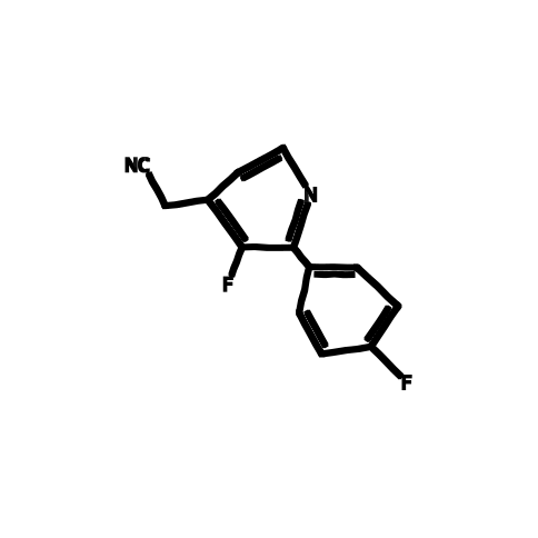 N#CCc1ccnc(-c2ccc(F)cc2)c1F